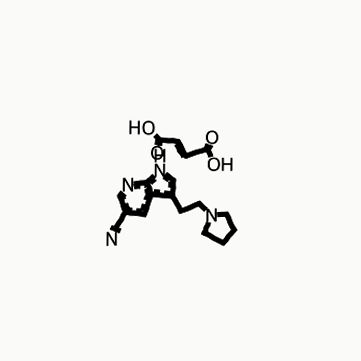 N#Cc1cnc2[nH]cc(CCN3CCCC3)c2c1.O=C(O)/C=C/C(=O)O